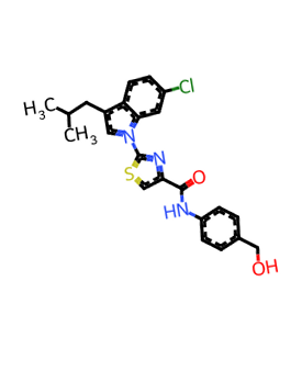 CC(C)Cc1cn(-c2nc(C(=O)Nc3ccc(CO)cc3)cs2)c2cc(Cl)ccc12